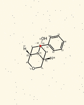 O[C@H]1C[C@H]2COC[C@@H](C1)N2Cc1ccccc1